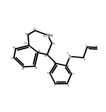 C=CCSc1ccccc1C1CNCCc2ccccc21